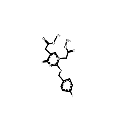 CC(C)OC(=O)Cc1cn(CC(=O)OC(C)(C)C)c(SCc2ccc(F)cc2)nc1=O